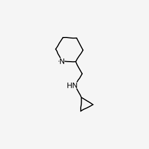 C1CCC(CNC2CC2)[N]C1